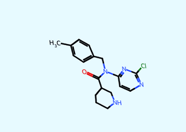 Cc1ccc(CN(C(=O)C2CCCNC2)c2ccnc(Cl)n2)cc1